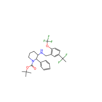 CC(C)(C)OC(=O)N1CCCC(NCc2cc(C(C)(F)F)ccc2OC(F)(F)F)C1c1ccccc1